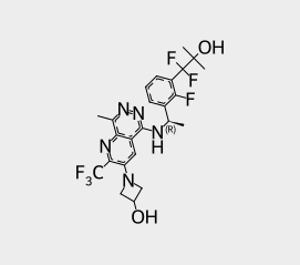 Cc1nnc(N[C@H](C)c2cccc(C(F)(F)C(C)(C)O)c2F)c2cc(N3CC(O)C3)c(C(F)(F)F)nc12